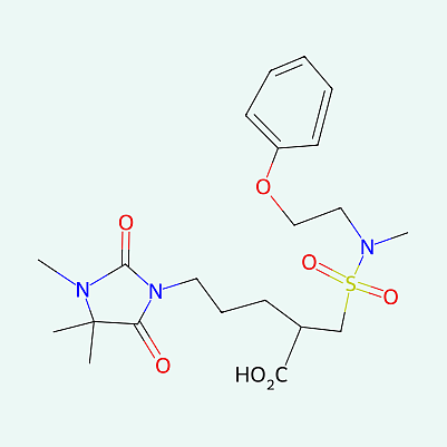 CN1C(=O)N(CCCC(CS(=O)(=O)N(C)CCOc2ccccc2)C(=O)O)C(=O)C1(C)C